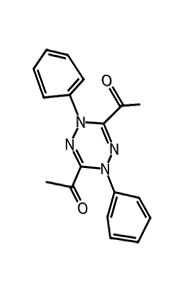 CC(=O)C1=NN(c2ccccc2)C(C(C)=O)=NN1c1ccccc1